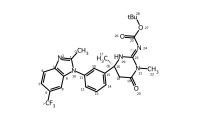 Cc1nc2ccc(C(F)(F)F)cc2n1-c1cccc([C@]2(C)CC(=O)N(C)/C(=N/C(=O)OC(C)(C)C)N2)c1